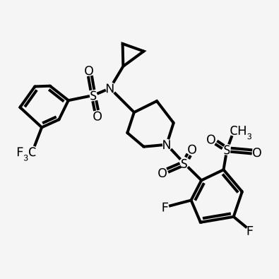 CS(=O)(=O)c1cc(F)cc(F)c1S(=O)(=O)N1CCC(N(C2CC2)S(=O)(=O)c2cccc(C(F)(F)F)c2)CC1